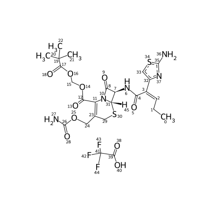 CC/C=C(\C(=O)N[C@@H]1C(=O)N2C(C(=O)OCOC(=O)C(C)(C)C)=C(COC(N)=O)CS[C@@H]12)c1csc(N)n1.O=C(O)C(F)(F)F